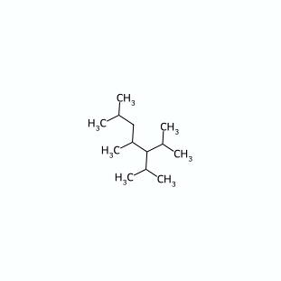 CC(C)CC(C)C(C(C)C)C(C)C